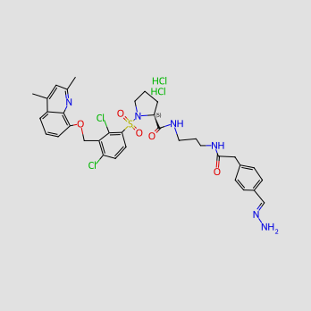 Cc1cc(C)c2cccc(OCc3c(Cl)ccc(S(=O)(=O)N4CCC[C@H]4C(=O)NCCCNC(=O)Cc4ccc(C=NN)cc4)c3Cl)c2n1.Cl.Cl